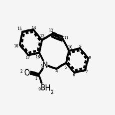 BC(=O)N1Cc2ccccc2C#Cc2ccccc21